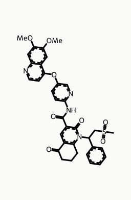 COc1cc2nccc(Oc3ccc(NC(=O)c4cc5c(n(C(CS(C)(=O)=O)c6ccccc6)c4=O)CCCC5=O)nc3)c2cc1OC